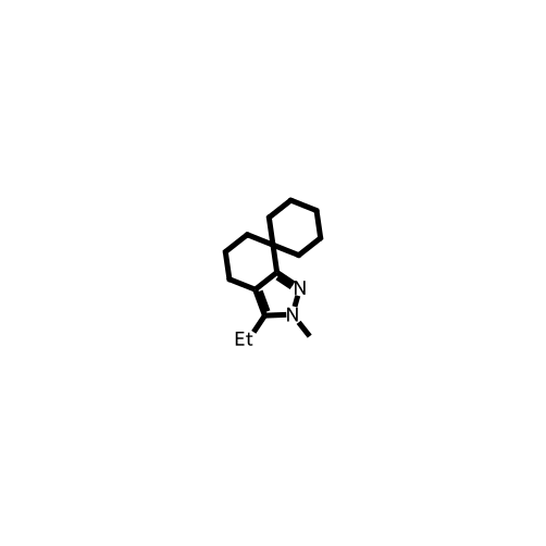 CCc1c2c(nn1C)C1(CCCCC1)CCC2